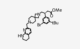 COC(=O)C[C@H](CN1CC2(CCN(Cc3ccc4c(n3)NCCC4)CC2)C1)c1cc(Br)cc(C(C)(C)C)c1